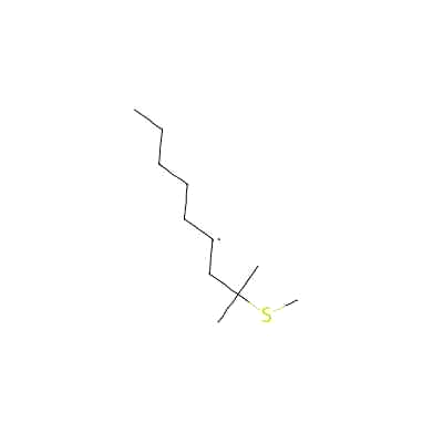 CCCCC[CH]CC(C)(C)SC